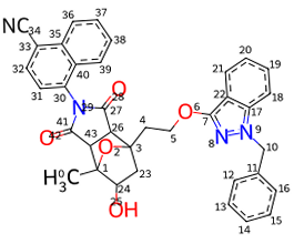 CC12OC(CCOc3nn(Cc4ccccc4)c4ccccc34)(CC1O)C1C(=O)N(c3ccc(C#N)c4ccccc34)C(=O)C12